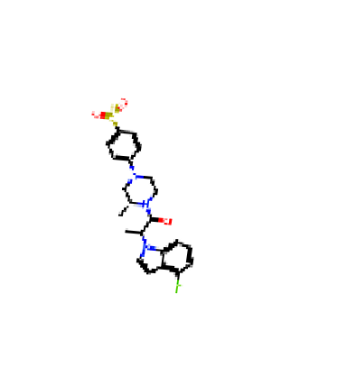 C[C@H]1CN(c2ccc([SH](=O)=O)cc2)CCN1C(=O)[C@H](C)n1ccc2c(F)cccc21